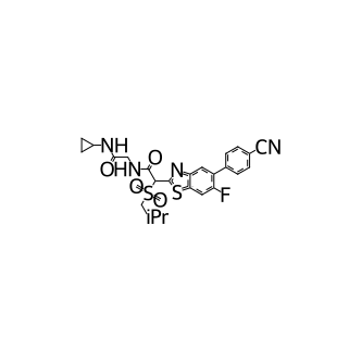 CC(C)CS(=O)(=O)C(C(=O)NCC(=O)NC1CC1)c1nc2cc(-c3ccc(C#N)cc3)c(F)cc2s1